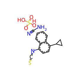 N#CN.O=S(=O)(O)O.S=C=Nc1ccc(C2CC2)c2ccccc12